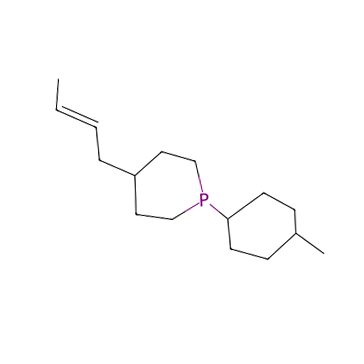 C/C=C/CC1CCP(C2CCC(C)CC2)CC1